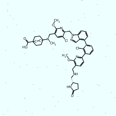 COc1nc(-c2cccc(-c3cccc4c3cnn4Cc3nc(OC)c(CN(C)C45CCC(C(=O)O)(CC4)CC5)cc3Cl)c2Cl)ccc1CNC[C@@H]1CCC(=O)N1